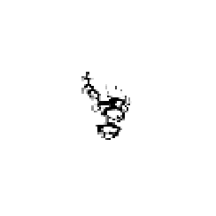 CC1=C(C(=O)N2Cc3cc(C(F)(F)F)cnc3C2)C2(CCN(C3CCOCC3)CC2)OC1=O